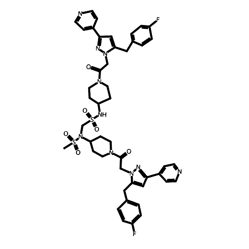 CS(=O)(=O)N(CS(=O)(=O)NC1CCN(C(=O)Cn2nc(-c3ccncc3)cc2Cc2ccc(F)cc2)CC1)C1CCN(C(=O)Cn2nc(-c3ccncc3)cc2Cc2ccc(F)cc2)CC1